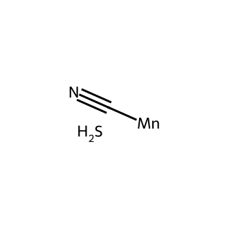 N#[C][Mn].S